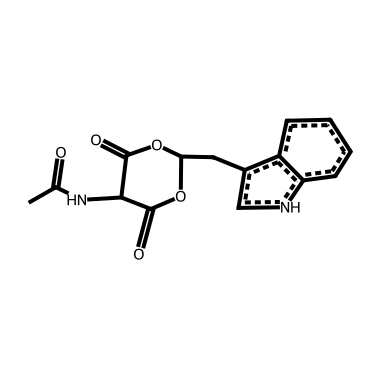 CC(=O)NC1C(=O)OC(Cc2c[nH]c3ccccc23)OC1=O